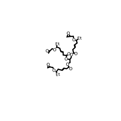 CCC(CC=CCC(=O)OCC(COC(=O)CC=CCC(CC)OCC1CO1)OC(=O)CC=CCC(CC)OCC1CO1)OCC1CO1